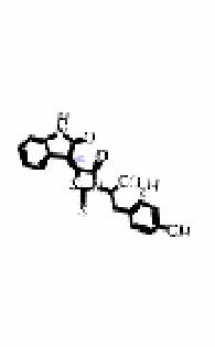 O=C1Nc2ccccc2/C1=C1\SC(=S)N(C(Cc2ccc(O)cc2)C(=O)O)C1=O